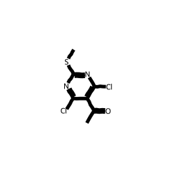 CSc1nc(Cl)c(C(C)=O)c(Cl)n1